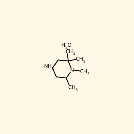 CC1CCCC(C)(C)N1C.N.O